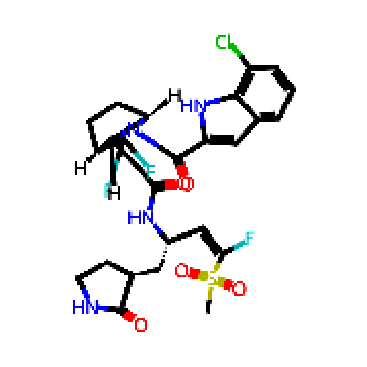 CS(=O)(=O)/C(F)=C\[C@H](C[C@@H]1CCNC1=O)NC(=O)[C@@H]1[C@@H]2CC[C@@H](CC2(F)F)N1C(=O)c1cc2cccc(Cl)c2[nH]1